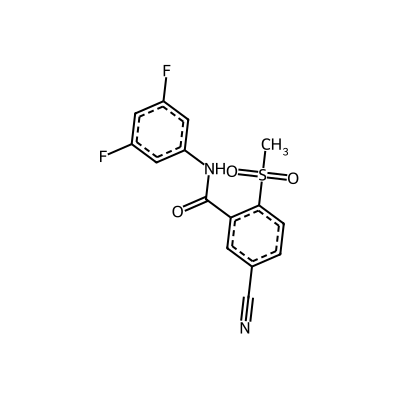 CS(=O)(=O)c1ccc(C#N)cc1C(=O)Nc1cc(F)cc(F)c1